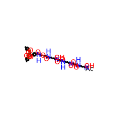 CC(=O)N(O)CCCCCNC(=O)CCC(=O)N(O)CCCCCNC(=O)CCC(=O)N(O)CCCCCNC(=O)CCOCCNC(=O)c1ccc(C(=O)C(CS(=O)(=O)c2ccc(C)cc2)CS(=O)(=O)c2ccc(C)cc2)cc1